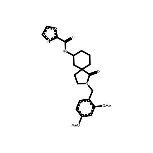 COc1ccc(CN2CCC3(CCCC(NC(=O)c4nccs4)C3)C2=O)c(OC)c1